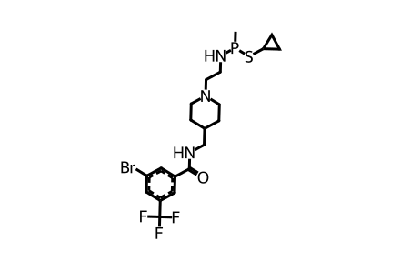 CP(NCCN1CCC(CNC(=O)c2cc(Br)cc(C(F)(F)F)c2)CC1)SC1CC1